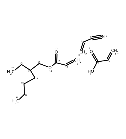 C=CC#N.C=CC(=O)O.C=CC(=O)OCC(CC)CCCC